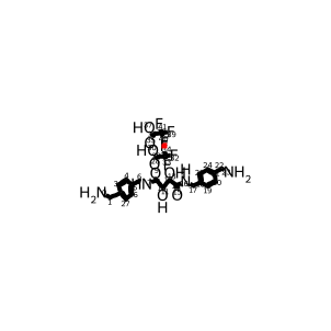 NCc1ccc(CNC(=O)C(O)C(O)C(=O)NCc2ccc(CN)cc2)cc1.O=C(O)C(F)(F)F.O=C(O)C(F)(F)F